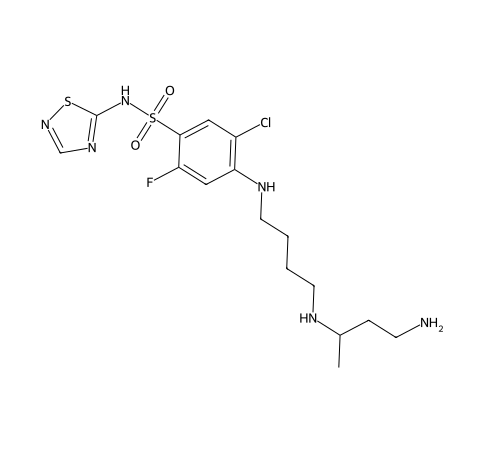 CC(CCN)NCCCCNc1cc(F)c(S(=O)(=O)Nc2ncns2)cc1Cl